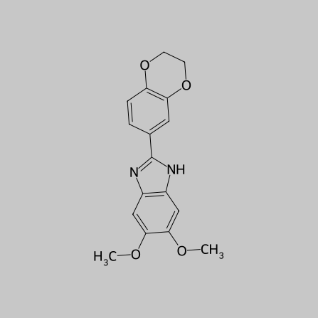 COc1cc2nc(-c3ccc4c(c3)OCCO4)[nH]c2cc1OC